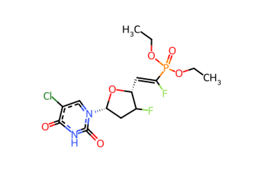 CCOP(=O)(OCC)/C(F)=C/[C@H]1O[C@@H](n2cc(Cl)c(=O)[nH]c2=O)CC1F